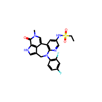 CCS(=O)(=O)Nc1cnc2c(c1)-c1cn(C)c(=O)c3[nH]cc(c13)CN2c1ccc(F)cc1F